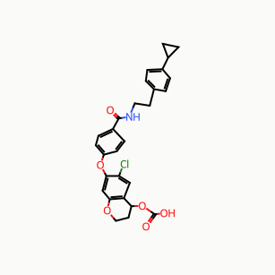 O=C(O)OC1CCOc2cc(Oc3ccc(C(=O)NCCc4ccc(C5CC5)cc4)cc3)c(Cl)cc21